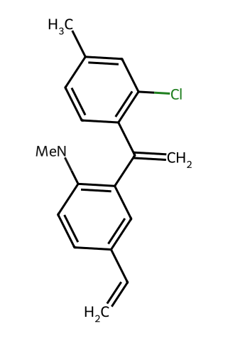 C=Cc1ccc(NC)c(C(=C)c2ccc(C)cc2Cl)c1